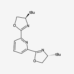 CC(C)(C)[C@@H]1COC(c2cccc(C3=N[C@H](C(C)(C)C)CO3)n2)=N1